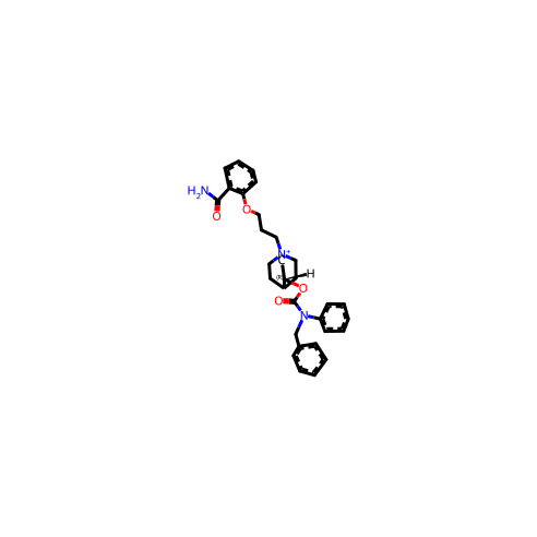 NC(=O)c1ccccc1OCCC[N+]12CCC(CC1)[C@@H](OC(=O)N(Cc1ccccc1)c1ccccc1)C2